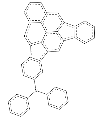 c1ccc(N(c2ccccc2)c2ccc3c(c2)c2cc4c5ccccc5c5cc6cccc7cc3c2c(c67)c54)cc1